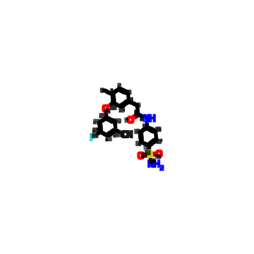 Cc1ccc(CC(=O)Nc2ccc(S(N)(=O)=O)cc2)cc1Oc1cc(F)cc(C#N)c1